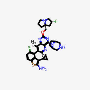 Cc1c(-c2c(F)ccc3sc(N)c(C4CC4)c23)c(C#N)nc2c(N3C4CCC3CNC4)nc(OC[C@@]34CCCN3C[C@H](F)C4)nc12